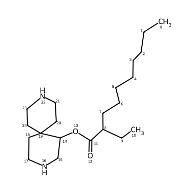 CCCCCCCCC(CC)C(=O)OC1CNCCC12CCNCC2